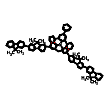 CC1(C)c2ccccc2-c2ccc(C3=CC4C(C=C3)c3ccc(-c5ccc6c(c5)Cc5cc(-c7ccc8c(c7)C(C)(C)c7cc(-c9ccc%10c(c9)C(C)(C)c9ccccc9-%10)ccc7-8)ccc5N6c5c(-c6ccccc6)cc(-c6ccccc6)cc5-c5ccccc5)cc3C4(C)C)cc21